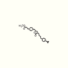 COC(=O)CCN1CCN(CC2CN(CCCCC3CCN(C4CC4)CC3)C(=O)O2)CC1